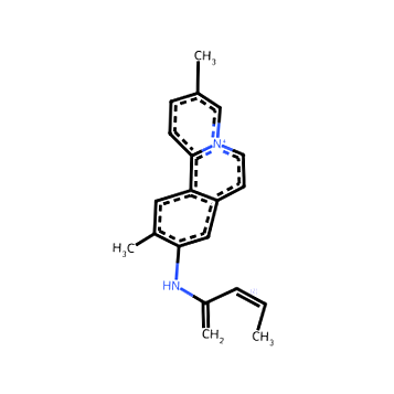 C=C(/C=C\C)Nc1cc2cc[n+]3cc(C)ccc3c2cc1C